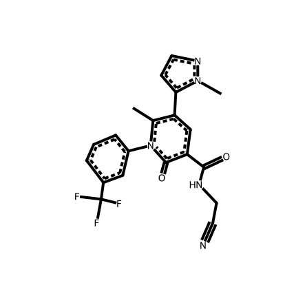 Cc1c(-c2ccnn2C)cc(C(=O)NCC#N)c(=O)n1-c1cccc(C(F)(F)F)c1